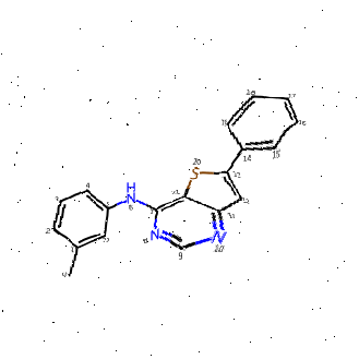 Cc1cccc(Nc2ncnc3cc(-c4ccccc4)sc23)c1